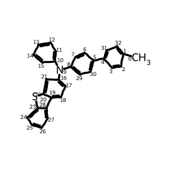 Cc1ccc(-c2ccc(N(c3ccccc3)c3ccc4c(c3)sc3ccccc34)cc2)cc1